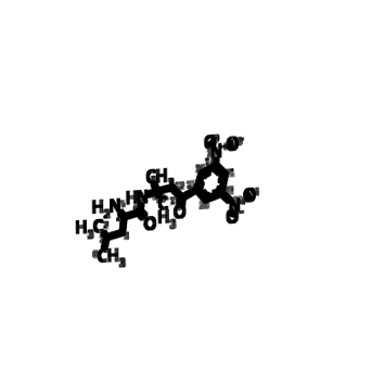 CC(C)CC(N)C(=O)NC(C)(C)CC(=O)c1cc([N+](=O)[O-])cc([N+](=O)[O-])c1